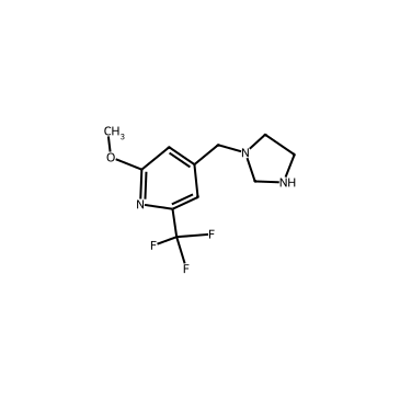 COc1cc(CN2CCNC2)cc(C(F)(F)F)n1